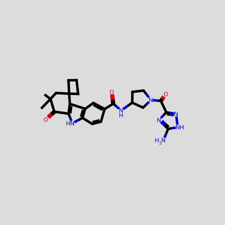 CC1(C)CC2(CCC2)c2c([nH]c3ccc(C(=O)NC4CCN(C(=O)c5n[nH]c(N)n5)C4)cc23)C1=O